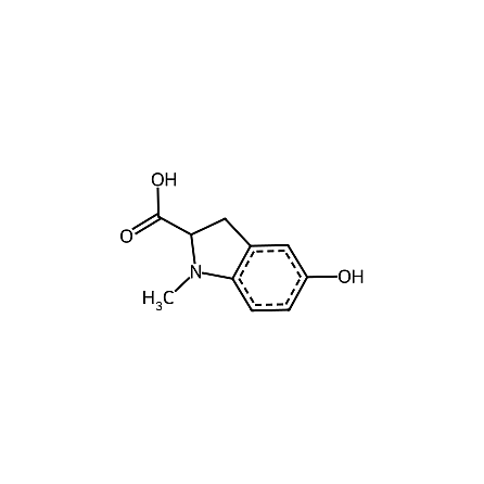 CN1c2ccc(O)cc2CC1C(=O)O